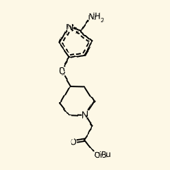 CC(C)COC(=O)CN1CCC(Oc2ccc(N)nc2)CC1